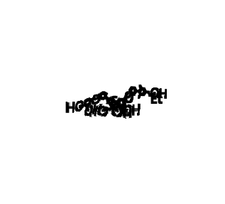 CCC(O)CCc1cc(C)c(-c2cccc(OCc3ccc(C(O)C(CCO)c4cc(-c5cccc(OCc6ccc(CO)c(CO)c6)c5)cs4)c(CO)c3)c2)c(C)c1